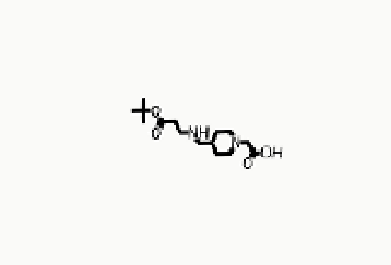 CC(C)(C)OC(=O)CCNCC1CCN(CC(=O)O)CC1